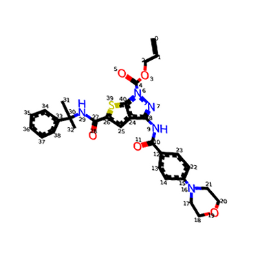 C=CCOC(=O)n1nc(NC(=O)c2ccc(N3CCOCC3)cc2)c2cc(C(=O)NC(C)(C)c3ccccc3)sc21